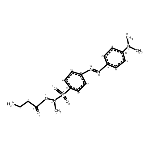 CCCC(=O)ON(C)S(=O)(=O)c1ccc(N=Nc2ccc(N(C)C)cc2)cc1